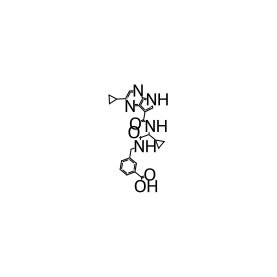 O=C(O)c1cccc(CNC(=O)C(NC(=O)c2c[nH]c3ncc(C4CC4)nc23)C2CC2)c1